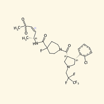 C[C@H](/C=C\S(C)(=O)=O)NC(=O)C1(F)CCN(C(=O)[C@H]2CN(CC(F)(F)C(F)(F)F)C[C@H]2c2ccccc2Cl)CC1